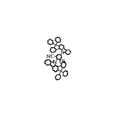 N#Cc1cc(-n2c3ccccc3c3ccc4c(c32)-c2ccccc2C4(c2ccccc2)c2ccccc2)cc(C#N)c1-n1c2ccccc2c2ccc3c(c21)-c1ccccc1C3(c1ccccc1)c1ccccc1